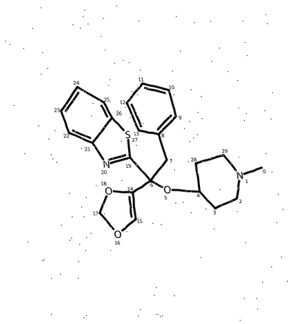 CN1CCC(OC(Cc2ccccc2)(C2=COCO2)c2nc3ccccc3s2)CC1